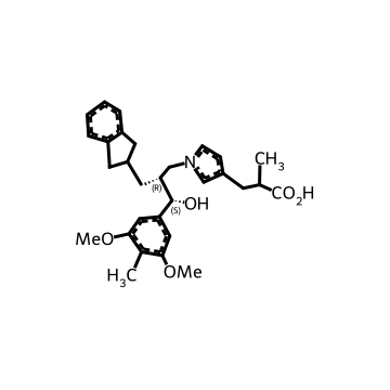 COc1cc([C@@H](O)[C@H](CC2Cc3ccccc3C2)Cn2ccc(CC(C)C(=O)O)c2)cc(OC)c1C